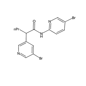 CCCC(C(=O)Nc1ccc(Br)cn1)c1cncc(Br)c1